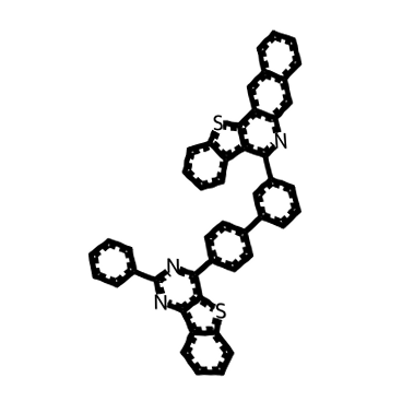 c1ccc(-c2nc(-c3ccc(-c4cccc(-c5nc6cc7ccccc7cc6c6sc7ccccc7c56)c4)cc3)c3sc4ccccc4c3n2)cc1